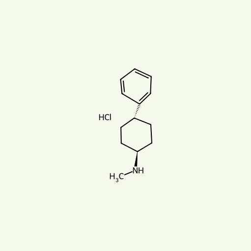 CN[C@H]1CC[C@H](c2ccccc2)CC1.Cl